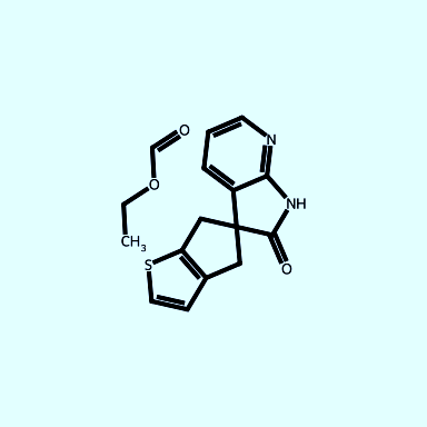 CCOC=O.O=C1Nc2ncccc2C12Cc1ccsc1C2